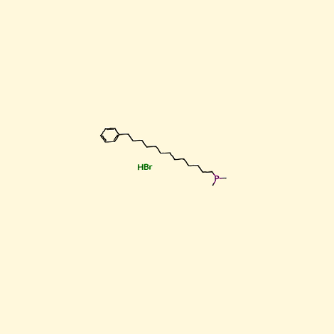 Br.CP(C)CCCCCCCCCCCCCc1ccccc1